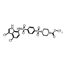 O=C(OC(F)(F)F)N1CCN(S(=O)(=O)c2ccc(S(=O)(=O)Nc3ccc(Cl)c4c(Cl)c[nH]c34)cc2)CC1